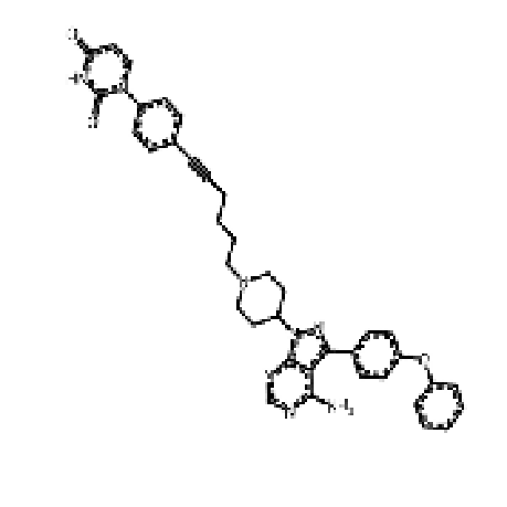 Nc1ncnc2c1c(-c1ccc(Oc3ccccc3)cc1)nn2C1CCN(CCCCC#Cc2ccc(-n3ccc(=O)[nH]c3=O)cc2)CC1